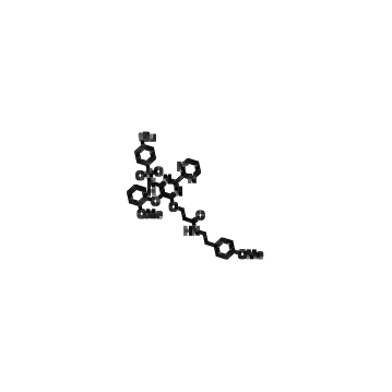 COc1ccc(CCNC(=O)CCOc2nc(-c3ncccn3)nc(NS(=O)(=O)c3ccc(C(C)(C)C)cc3)c2Oc2ccccc2OC)cc1